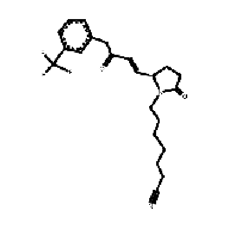 N#CCCCCCCN1C(=O)CC[C@@H]1C=CC(=O)Cc1cccc(C(F)(F)F)c1